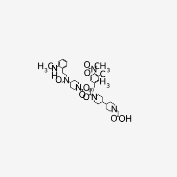 CNc1ccccc1CCN(C=O)C1CCN(C(=O)O[C@H](Cc2cc(C)c3c(c2)oc(=O)n3C)C(=O)N2CCC(C3CCN(CC(=O)O)CC3)CC2)CC1